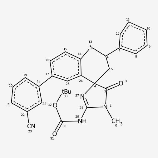 CN1C(=O)C2(CC(c3ccccc3)Sc3ccc(-c4cccc(C#N)c4)cc32)N=C1NC(=O)OC(C)(C)C